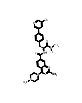 CN1CCN(c2nc(N)nc3cc(C(=O)N[C@@H](Cc4ccc(-c5cncc(C#N)c5)cc4)C(=O)N(C)C)ccc23)CC1